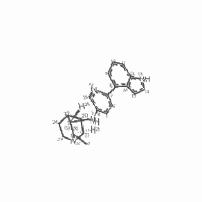 C[C@@H]1[C@@H](Nc2ccc(-c3cccc4[nH]ccc34)nc2)C2CCN1CC2